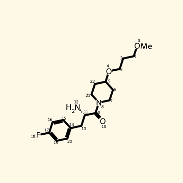 COCCCOC1CCN(C(=O)[C@@H](N)Cc2ccc(F)cc2)CC1